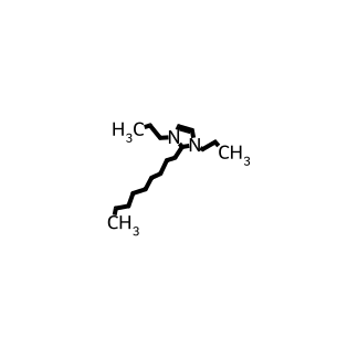 CCCCCCCCCC1N(CCC)C=CN1CCC